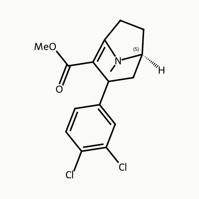 COC(=O)C1=C2CC[C@@H](CC1c1ccc(Cl)c(Cl)c1)N2C